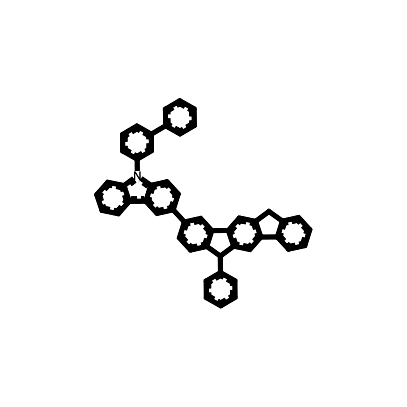 c1ccc(-c2cccc(-n3c4ccccc4c4cc(-c5ccc6c(c5)-c5cc7c(cc5C6c5ccccc5)-c5ccccc5C7)ccc43)c2)cc1